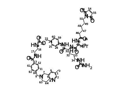 Cc1cnc2c(c1)CN(Cc1ccc(C(=O)NCCNC(=O)OCc3ccc(NC(=O)C(CCCNC(N)=O)NC(=O)C(NC(=O)CCCCCN4C(=O)C=CC4=O)C(C)C)cc3)cc1)CC2